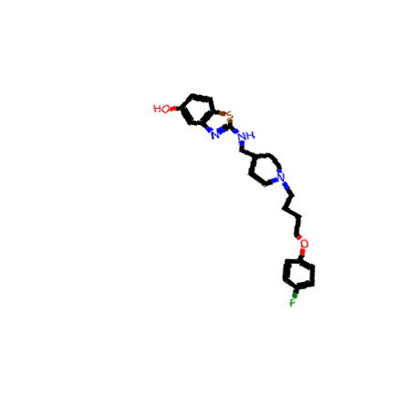 Oc1ccc2sc(NCC3CCN(CCCCOc4ccc(F)cc4)CC3)nc2c1